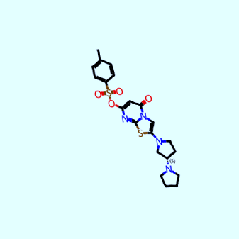 Cc1ccc(S(=O)(=O)Oc2cc(=O)n3cc(N4CC[C@H](N5CCCC5)C4)sc3n2)cc1